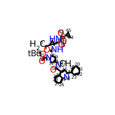 C=CC1CC1(NC(=O)[C@@H]1C[C@@H](N(C)C(=O)c2cc(-c3ccccc3)nc3ccccc23)CN1C(=O)OC(C)(C)C)C(=O)NS(=O)(=O)C1CC1